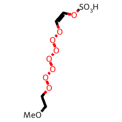 COCCOOOOOOO/C=C\OS(=O)(=O)O